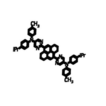 Cc1ccc(N(c2ccc(C(C)C)cc2)c2cnc(-c3cc4c5c(c(-c6ncc(N(c7ccc(C)cc7)c7ccc(C(C)C)cc7)cn6)cc6c5c3CCC6)CCC4)nc2)cc1